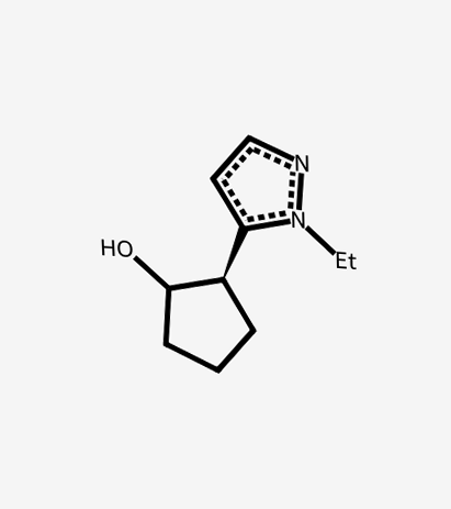 CCn1nccc1[C@H]1CCCC1O